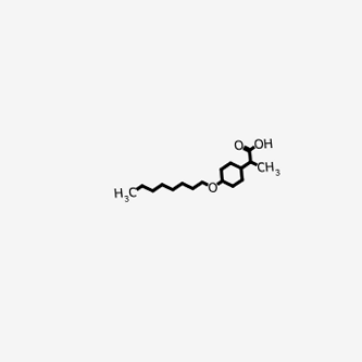 CCCCCCCCOC1CCC(C(C)C(=O)O)CC1